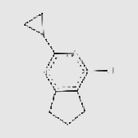 Clc1nc(C2CC2)nc2c1CCC2